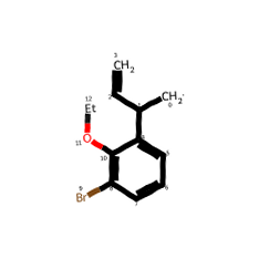 [CH2]C(C=C)c1cccc(Br)c1OCC